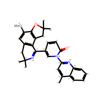 COc1cc2c(c3c1OC(C)(C)C3)C(c1ccc(=O)n(-c3cc(C)c4ccccc4n3)c1)=NC(C)(C)C2